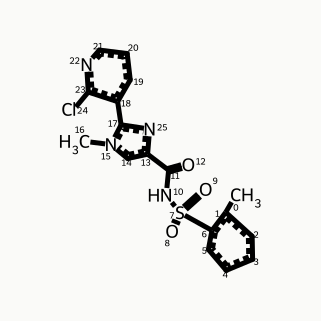 Cc1ccccc1S(=O)(=O)NC(=O)c1cn(C)c(-c2cccnc2Cl)n1